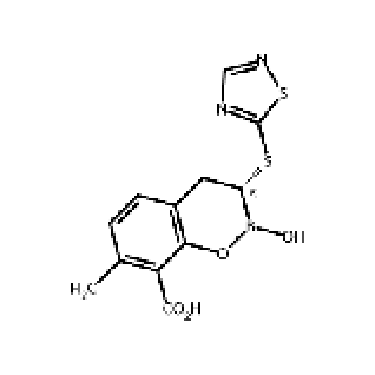 Cc1ccc2c(c1C(=O)O)OB(O)[C@@H](Sc1ncns1)C2